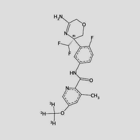 [2H]C([2H])([2H])Oc1cnc(C(=O)Nc2ccc(F)c([C@]3(C(F)F)COCC(N)=N3)c2)c(C)c1